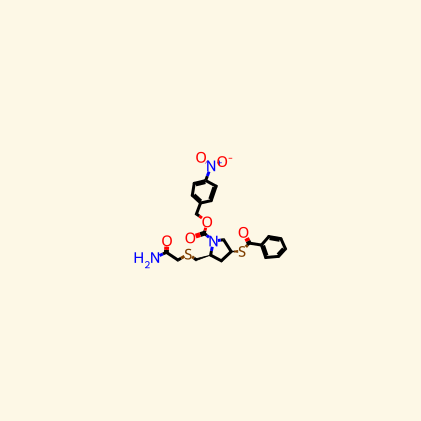 NC(=O)CSC[C@@H]1C[C@H](SC(=O)c2ccccc2)CN1C(=O)OCc1ccc([N+](=O)[O-])cc1